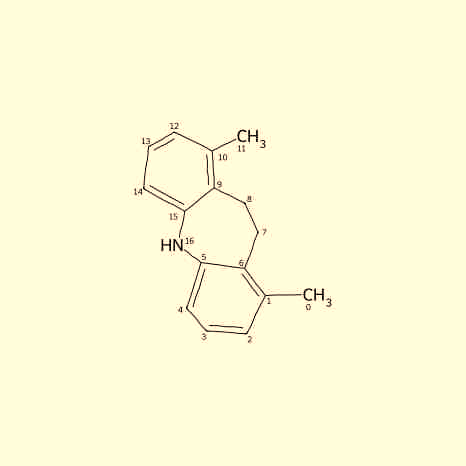 Cc1cccc2c1CCc1c(C)cccc1N2